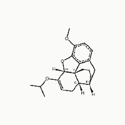 COc1ccc2c3c1O[C@H]1C(OC(C)C)=CC[C@H]4[C@H](CCC[C@]314)C2